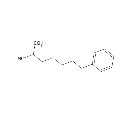 N#CC(CCCCCc1ccccc1)C(=O)O